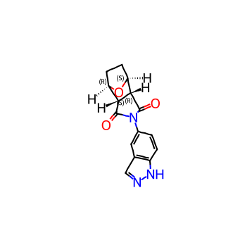 O=C1[C@@H]2[C@H](C(=O)N1c1ccc3[nH]ncc3c1)[C@H]1CC[C@@H]2O1